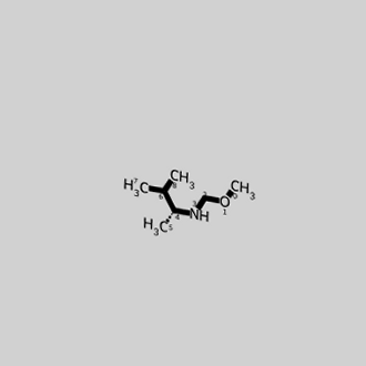 COCN[C@H](C)C(C)C